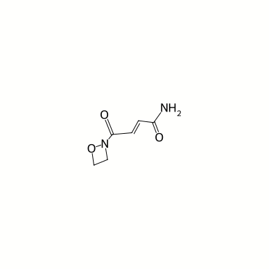 NC(=O)/C=C/C(=O)N1CCO1